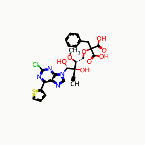 C#C[C@@](O)([C@@H](COC(Cc1ccccc1)(C(=O)O)C(=O)O)OC)[C@@H](O)n1cnc2c(-c3cccs3)nc(Cl)nc21